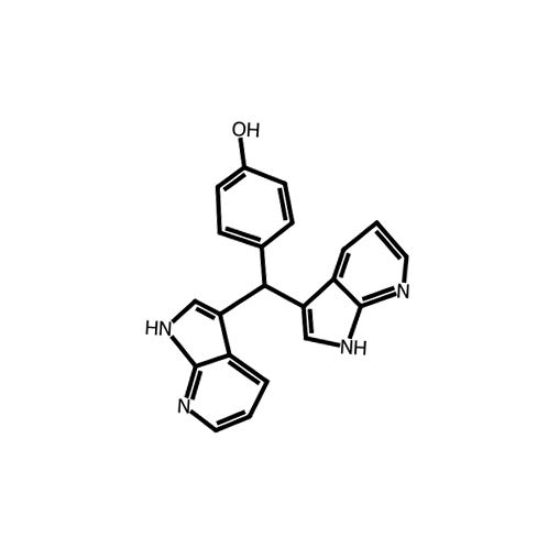 Oc1ccc(C(c2c[nH]c3ncccc23)c2c[nH]c3ncccc23)cc1